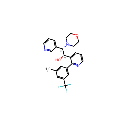 Cc1cc(-c2ncccc2[C@@H](O)[C@H](c2cccnc2)N2CCOCC2)cc(C(F)(F)F)c1